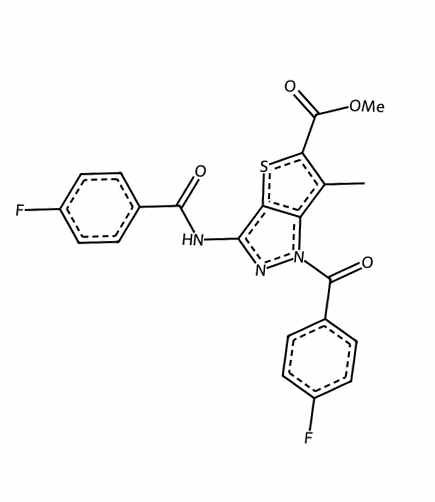 COC(=O)c1sc2c(NC(=O)c3ccc(F)cc3)nn(C(=O)c3ccc(F)cc3)c2c1C